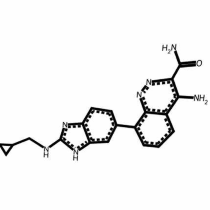 NC(=O)c1nnc2c(-c3ccc4nc(NCC5CC5)[nH]c4c3)cccc2c1N